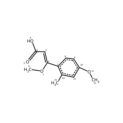 COC(=CC(=O)O)c1ccc(OC)cc1C